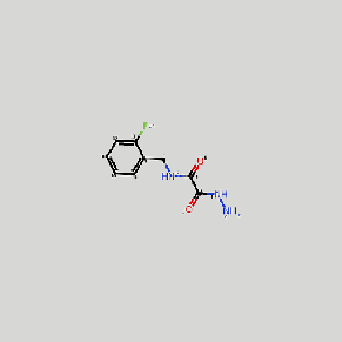 NNC(=O)C(=O)NCc1ccccc1F